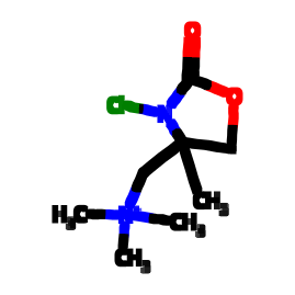 CC1(C[N+](C)(C)C)COC(=O)N1Cl